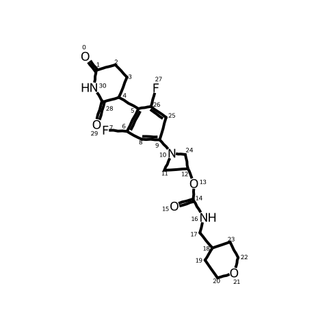 O=C1CCC(c2c(F)cc(N3CC(OC(=O)NCC4CCOCC4)C3)cc2F)C(=O)N1